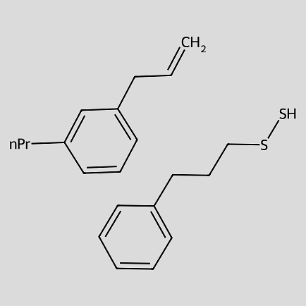 C=CCc1cccc(CCC)c1.SSCCCc1ccccc1